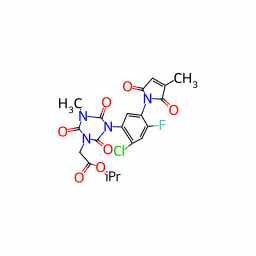 CC1=CC(=O)N(c2cc(-n3c(=O)n(C)c(=O)n(CC(=O)OC(C)C)c3=O)c(Cl)cc2F)C1=O